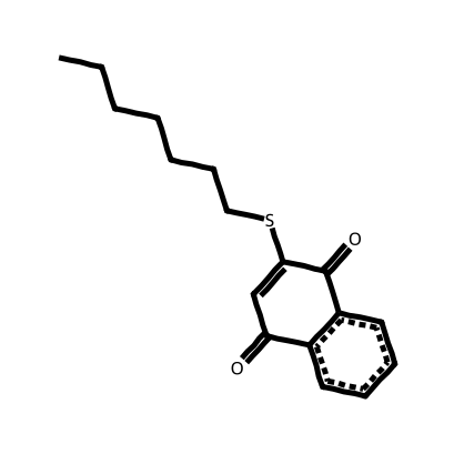 CCCCCCCSC1=CC(=O)c2ccccc2C1=O